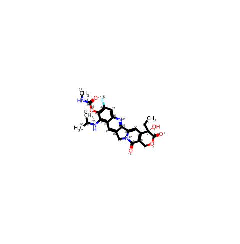 CC[C@@]1(O)C(=O)OCc2c1cc1n(c2=O)Cc2cc3c(NC(C)C)c(OC(=O)NC)c(F)cc3nc2-1